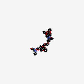 c1ccc(-c2nc(-c3ccccc3)nc(-c3ccc(-c4cccc5c4-c4ccccc4C54c5ccc6ccccc6c5Oc5c4ccc4ccc(-c6cccc(-c7ccc(-c8nc(-c9cccc%10c9-c9ccccc9C%109c%10ccc%11ccccc%11c%10Oc%10c9ccc9ccccc%109)nc9ccccc89)cc7)c6)cc54)cc3)n2)cc1